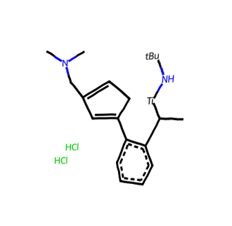 C[CH]([Ti][NH]C(C)(C)C)c1ccccc1C1=CC(CN(C)C)=CC1.Cl.Cl